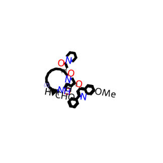 COc1ccc2c(O[C@@H]3C[C@H]4C(=O)N[C@@]5(C=O)C[C@@H]5/C=C\CCCCC[C@H](CC(=O)N5CCCCC5)C(=O)N4C3)cc(-c3ccccc3)nc2c1